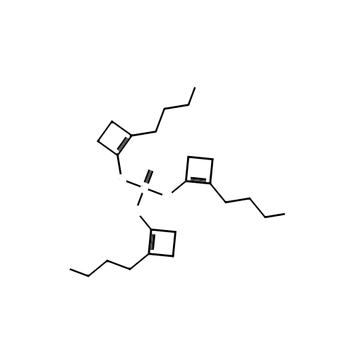 CCCCC1=C(OP(=O)(OC2=C(CCCC)CC2)OC2=C(CCCC)CC2)CC1